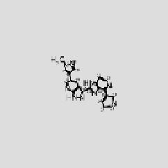 Cn1cc(-c2cnc3[nH]nc(-c4nc5c(-c6cccnc6)nccc5[nH]4)c3c2)cn1